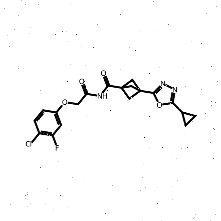 O=C(COc1ccc(Cl)c(F)c1)NC(=O)C12CC(c3nnc(C4CC4)o3)(C1)C2